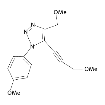 COCC#Cc1c(COC)nnn1-c1ccc(OC)cc1